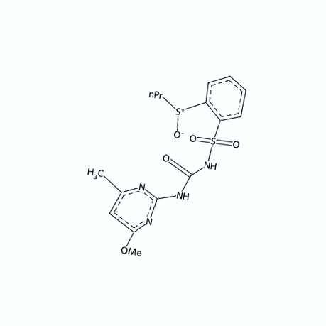 CCC[S+]([O-])c1ccccc1S(=O)(=O)NC(=O)Nc1nc(C)cc(OC)n1